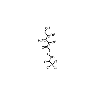 O=C(CONC(=O)C(Cl)(Cl)Cl)[C@H](O)[C@@H](O)[C@H](O)CO